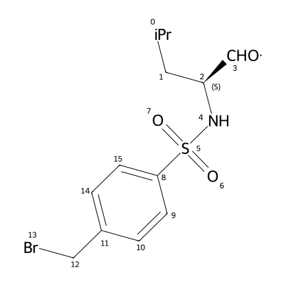 CC(C)C[C@@H]([C]=O)NS(=O)(=O)c1ccc(CBr)cc1